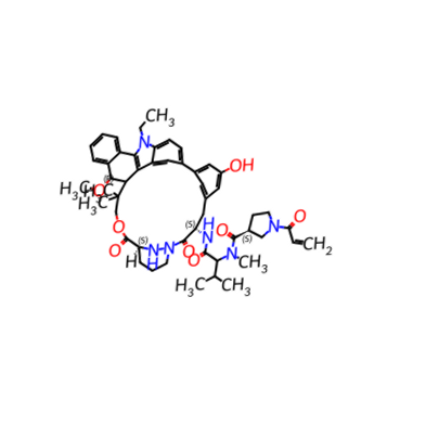 C=CC(=O)N1CC[C@H](C(=O)N(C)C(C(=O)N[C@H]2Cc3cc(O)cc(c3)-c3ccc4c(c3)c3c(n4CC)-c4ccccc4[C@H](OC)C3C(C)(C)COC(=O)[C@@H]3CCCN(N3)C2=O)C(C)C)C1